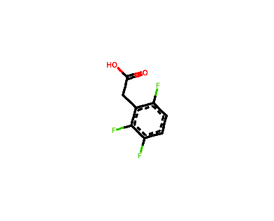 O=C(O)Cc1c(F)ccc(F)c1F